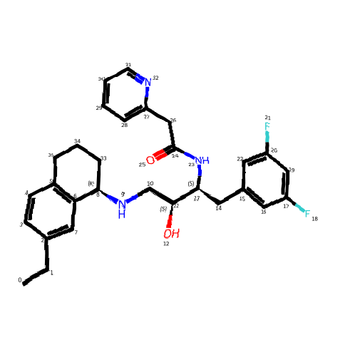 CCc1ccc2c(c1)[C@H](NC[C@H](O)[C@H](Cc1cc(F)cc(F)c1)NC(=O)Cc1ccccn1)CCC2